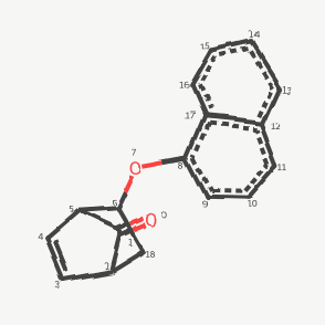 O=C1C2C=CC1C(Oc1cccc3ccccc13)C2